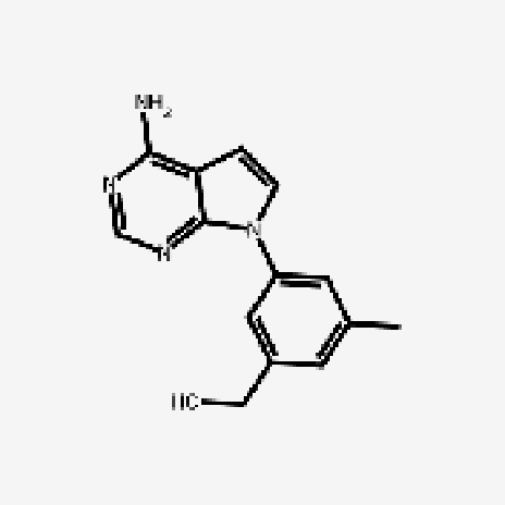 Cc1cc(CO)cc(-n2ccc3c(N)ncnc32)c1